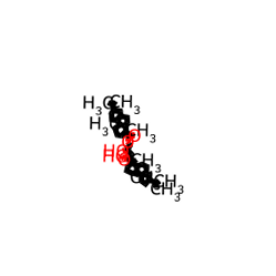 CC(C)C1=CC2=C(CC1)C1(C)CCCC(C)(C(=O)OCC(O)CC(OO)C3(C)CCCC4(C)C5=C(C=C(C(C)C)CC5)CCC43)C1CC2